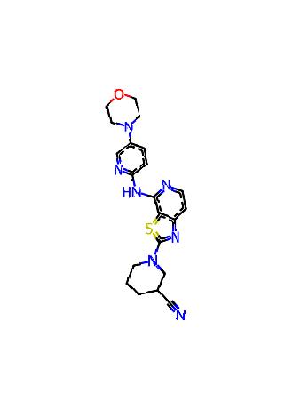 N#CC1CCCN(c2nc3ccnc(Nc4ccc(N5CCOCC5)cn4)c3s2)C1